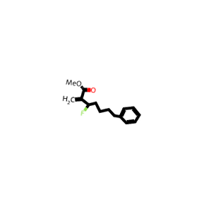 C=C(C(=O)OC)C(F)CCCCc1ccccc1